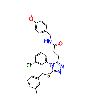 COc1ccc(CNC(=O)CCc2nnc(SCc3cccc(C)c3)n2-c2cccc(Cl)c2)cc1